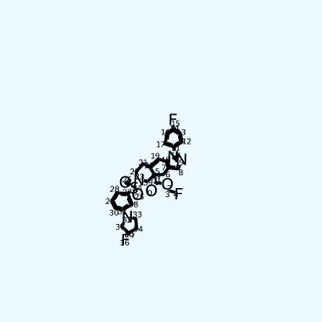 O=C(OCF)[C@]12Cc3cnn(-c4ccc(F)cc4)c3C=C1CCN(S(=O)(=O)c1cccc(N3CC[C@@H](F)C3)c1)C2